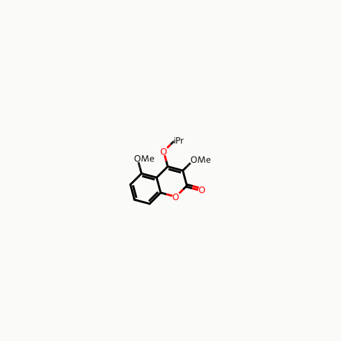 COc1c(OC(C)C)c2c(OC)cccc2oc1=O